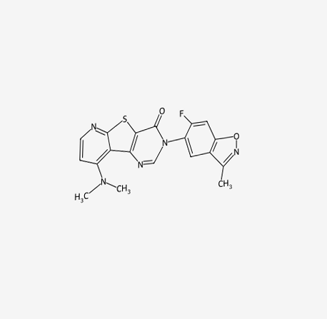 Cc1noc2cc(F)c(-n3cnc4c(sc5nccc(N(C)C)c54)c3=O)cc12